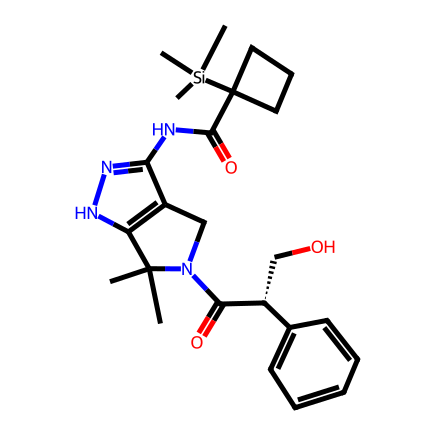 CC1(C)c2[nH]nc(NC(=O)C3([Si](C)(C)C)CCC3)c2CN1C(=O)[C@H](CO)c1ccccc1